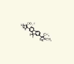 Cc1c(-c2ccc3c(c2)C(F)(F)c2cc(-c4nn[nH]c4C(=O)O)ccc2-3)nnn1C